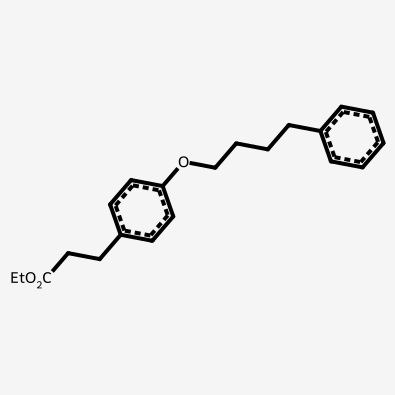 CCOC(=O)CCc1ccc(OCCCCc2ccccc2)cc1